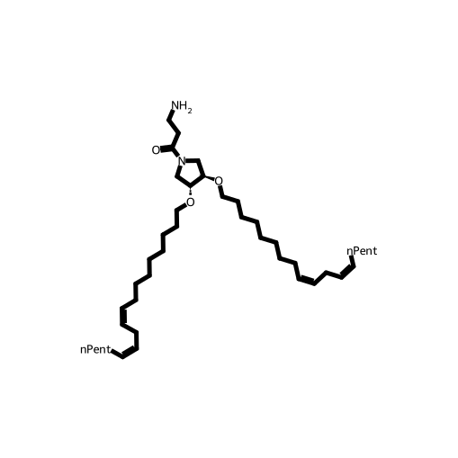 CCCCC/C=C\C/C=C\CCCCCCCCO[C@@H]1CN(C(=O)CCN)C[C@H]1OCCCCCCCC/C=C\C/C=C\CCCCC